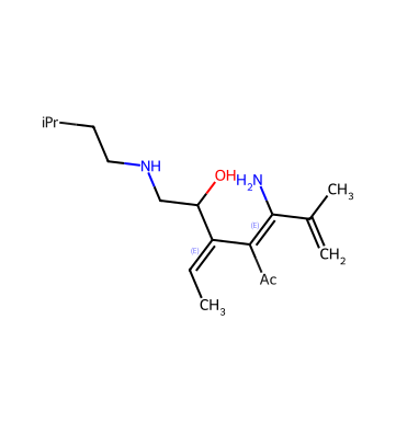 C=C(C)/C(N)=C(C(C)=O)/C(=C\C)C(O)CNCCC(C)C